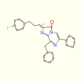 O=C1/C(=C/CCc2ccc(F)cc2)N=C2C(Cc3ccccc3)=NC(c3ccccc3)=CN12